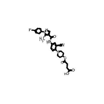 Cc1c(C(=O)Nc2ccc(N3CCC(OC(=O)CCC(=O)O)CC3)c(C#N)c2)cnn1-c1ccc(F)cc1